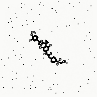 CCS(=O)(=O)c1ccc(CC(=O)Nc2cc(Cl)c(C3(c4ncc(-c5ccc(OC)c(F)c5)o4)CC3)c(Cl)c2)cc1